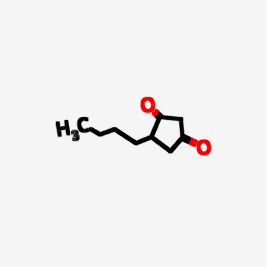 CCCCC1CC(=O)CC1=O